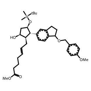 COC(=O)CCCC=CC[C@@H]1[C@@H](c2ccc3c(c2)CCC3OCc2ccc(OC)cc2)[C@H](O[Si](C)(C)C(C)(C)C)C[C@@H]1O